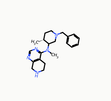 C[C@@H]1CCN(Cc2ccccc2)CC1N(C)c1ncnc2c1CCNC2